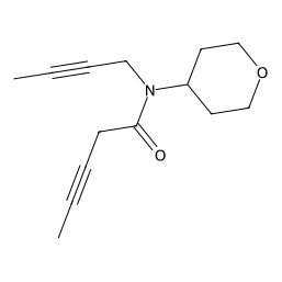 CC#CCC(=O)N(CC#CC)C1CCOCC1